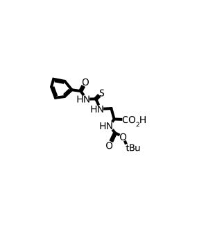 CC(C)(C)OC(=O)NC(CNC(=S)NC(=O)c1ccccc1)C(=O)O